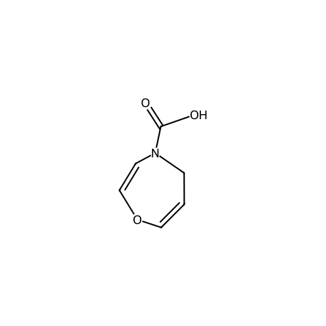 O=C(O)N1C=COC=CC1